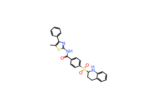 Cc1sc(NC(=O)c2ccc(S(=O)(=O)C3CCc4ccccc4N3)cc2)nc1-c1ccccc1